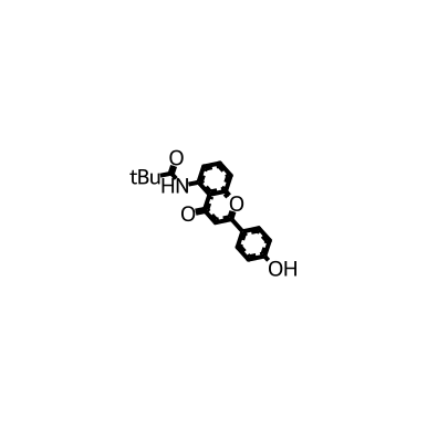 CC(C)(C)C(=O)Nc1cccc2oc(-c3ccc(O)cc3)cc(=O)c12